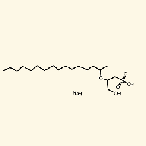 CCCCCCCCCCCCCCC(C)OC(CO)CS(=O)(=O)O.[NaH]